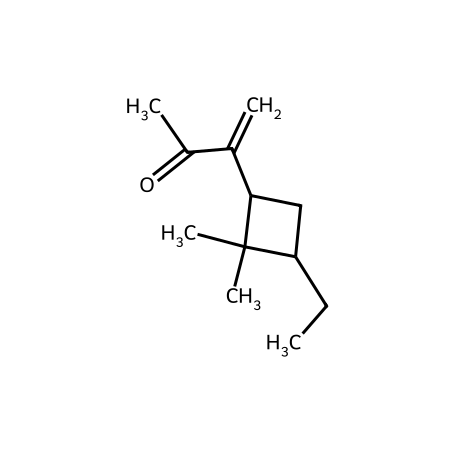 C=C(C(C)=O)C1CC(CC)C1(C)C